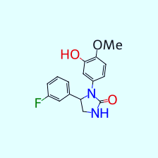 COc1ccc(N2C(=O)NCC2c2cccc(F)c2)cc1O